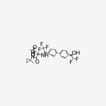 CC1(NC(=O)[C@H](CS(C)(=O)=O)N[C@@H](c2ccc(-c3ccc([C@@H](O)C(F)F)cc3)cc2)C(F)(F)F)CC1